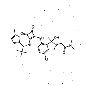 Cc1ccc([C@H](Nc2c(Nc3ccc(Cl)c4c3C(C)(O)N(CC(=O)N(C)C)C4)c(=O)c2=O)C(C)(C)C)o1